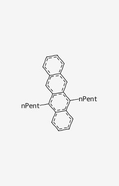 CCCCCc1c2ccccc2c(CCCCC)c2cc3ccccc3cc12